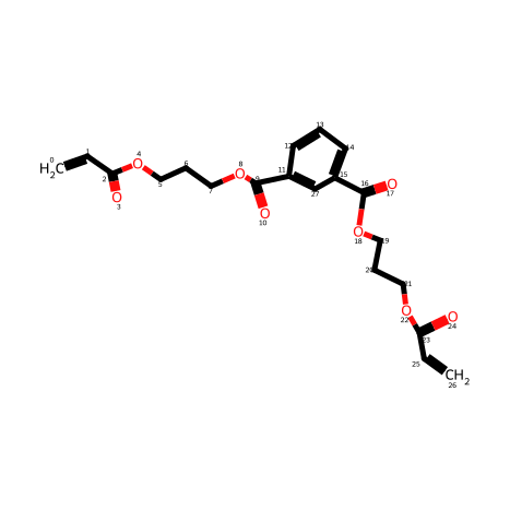 C=CC(=O)OCCCOC(=O)c1cccc(C(=O)OCCCOC(=O)C=C)c1